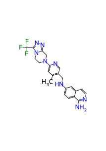 Cc1cc(N2CCn3c(nnc3C(F)(F)F)C2)ncc1CNc1ccc2c(N)nccc2c1